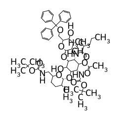 CCC[C@H](C)C(=O)N[C@@H]1C(OC(C)=O)[C@H](NC(=O)OC(C)(C)C)C(O[C@H]2OC(CNC(=O)OC(C)(C)C)CCC2C)C(O)[C@H]1O[C@H]1OC(COC(c2ccccc2)(c2ccccc2)c2ccccc2)[C@@H](O)[C@H](C)C1C